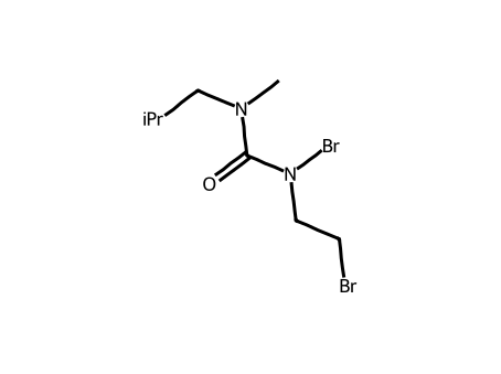 CC(C)CN(C)C(=O)N(Br)CCBr